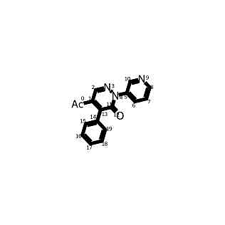 CC(=O)c1cnn(-c2cccnc2)c(=O)c1-c1ccccc1